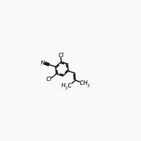 CC(C)=Cc1cc(Cl)c(C#N)c(Cl)c1